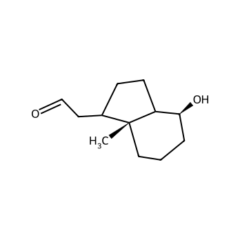 C[C@]12CCC[C@H](O)C1CCC2CC=O